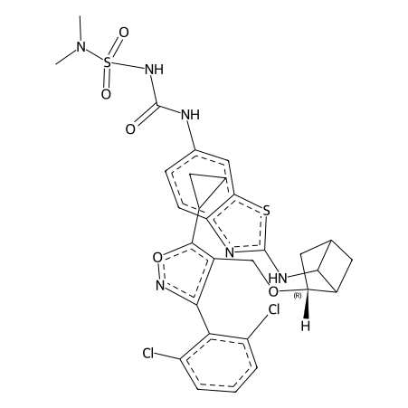 CN(C)S(=O)(=O)NC(=O)Nc1ccc2nc(NC3C4CC3[C@H](OCc3c(-c5c(Cl)cccc5Cl)noc3C3CC3)C4)sc2c1